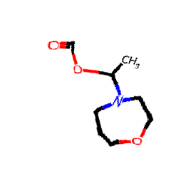 CC(OC=O)N1CCOCC1